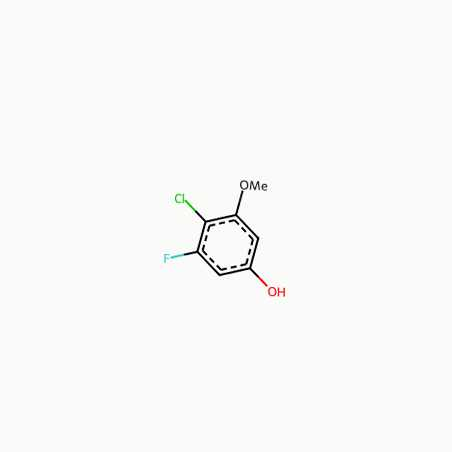 COc1cc(O)cc(F)c1Cl